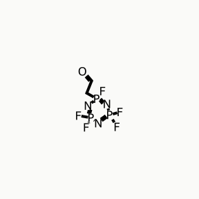 O=CCP1(F)=NP(F)(F)=NP(F)(F)=N1